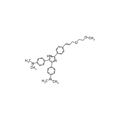 COCCOC/C=C/c1ccc(-c2nc(-c3ccc(N(C)C)cc3)c(-c3ccc(N(C)C)cc3)[nH]2)cc1